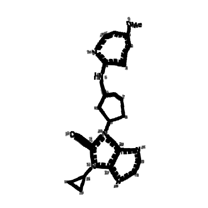 COc1ccc(NC2CCC(n3c(=O)n(C4CC4)c4nccnc43)C2)nc1